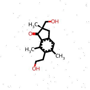 Cc1cc2c(c(C)c1CCO)C(=O)[C@](C)(CO)C2